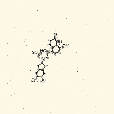 CCc1cc2c(cc1CC)CC(NC[C@H](O)c1ccc(O)c3[nH]c(=O)ccc13)C2.CS(=O)(=O)O